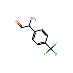 CC(C=O)c1ccc(C(F)(F)F)cc1